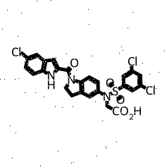 O=C(O)CN(c1ccc2c(c1)CCN2C(=O)c1cc2cc(Cl)ccc2[nH]1)S(=O)(=O)c1cc(Cl)cc(Cl)c1